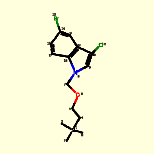 C[Si](C)(C)CCOCn1cc(Cl)c2cc(Br)ccc21